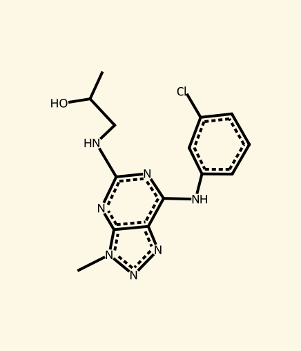 CC(O)CNc1nc(Nc2cccc(Cl)c2)c2nnn(C)c2n1